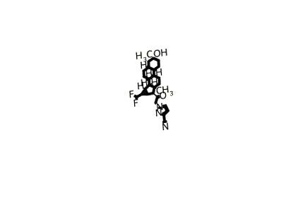 C[C@@]1(O)CC[C@H]2[C@H](CC[C@@H]3[C@@H]2CC[C@]2(C)[C@@H](C(=O)Cn4ccc(C#N)n4)C4=C(C(F)F)[C@H]4[C@@H]32)C1